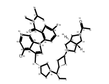 CC[C@H]([C@H]1C[C@H](N2C[C@H]3CN(C(C)=O)C[C@@H]3C2)C1)N1CC[C@H](Cc2cn(-c3ccc(F)cc3C(=O)N(C)C(C)C)c3cncc(Cl)c23)C1